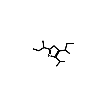 CCC(C)C1=NC(C(C)C)=C(C(C)CC)C1